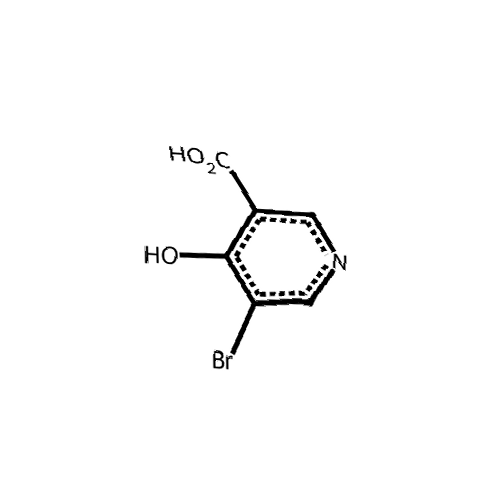 O=C(O)c1cncc(Br)c1O